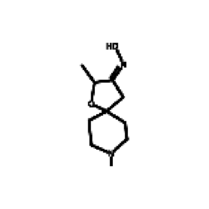 CC1OC2(CCN(C)CC2)C/C1=N/O